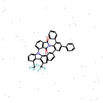 O=C1c2cccc(-n3c4cccc(C(F)(F)F)c4c4c(C(F)(F)F)cccc43)c2C(=O)N1c1c(-c2ccccc2)cc(-c2ccccc2)cc1-c1ccccc1